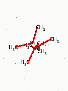 CCCCCCCCCCCCCCCCCCCCCC[CH2][Ni][CH2]CCCCCCCCCCCCCCCCCCCCCC.CCCCCCCCCCCCCCCCCCCCc1cc(CCCCC)cc(C2=CC(CCCCC)=C(c3cc(CCCCC)cc(CCCCCCCCCCCCCCCCCCCC)c3)[N+]2=[N-])c1